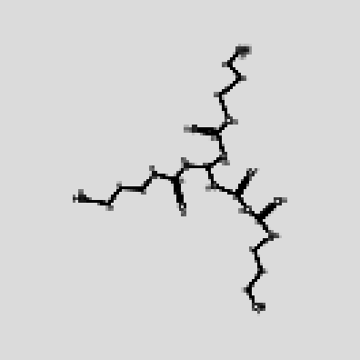 O=C(OCCCO)OC(=O)OC(OC(=O)OCCCO)OC(=O)OCCCO